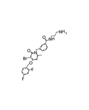 Cc1cc(OCc2ccc(F)cc2F)c(Br)c(=O)n1Cc1cccc(C(=O)NCCCN)c1